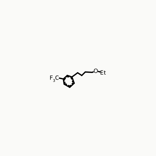 CCOCCCCc1cccc(C(F)(F)F)c1